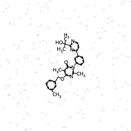 Cc1cccc(COc2nc(C)n(-c3cccc(-c4ccnc(C(C)(C)O)n4)c3)c(=O)c2C)c1